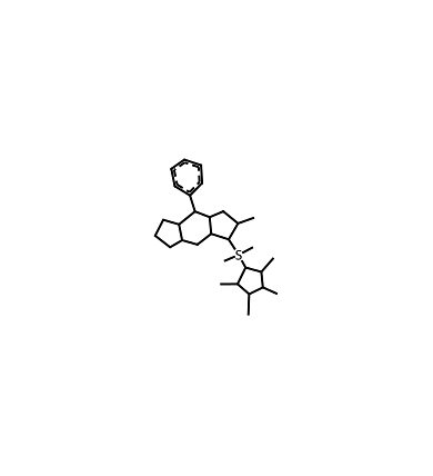 CC1CC2C(CC3CCCC3C2c2ccccc2)C1S(C)(C)C1C(C)C(C)C(C)C1C